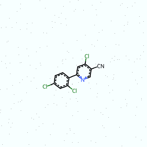 N#Cc1cnc(-c2ccc(Cl)cc2Cl)cc1Cl